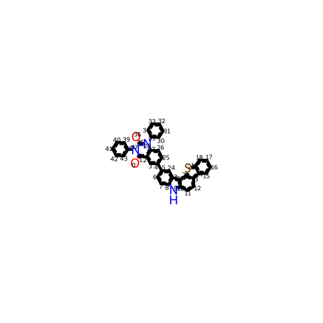 O=c1c2cc(-c3ccc4[nH]c5ccc6c7ccccc7sc6c5c4c3)ccc2n(-c2ccccc2)c(=O)n1-c1ccccc1